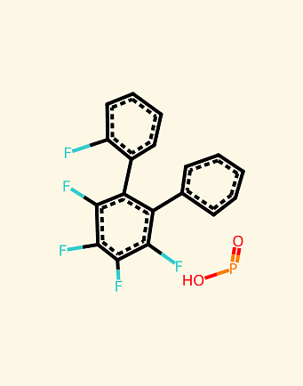 Fc1ccccc1-c1c(F)c(F)c(F)c(F)c1-c1ccccc1.O=PO